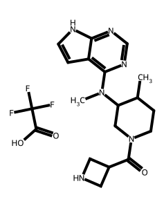 CC1CCN(C(=O)C2CNC2)CC1N(C)c1ncnc2[nH]ccc12.O=C(O)C(F)(F)F